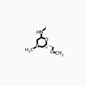 COC[C@@H]1CN(C)CC(NI)O1